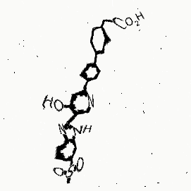 CS(=O)(=O)c1ccc2nc(-c3cnc(-c4ccc(C5CCC(CC(=O)O)CC5)cc4)cc3O)[nH]c2c1